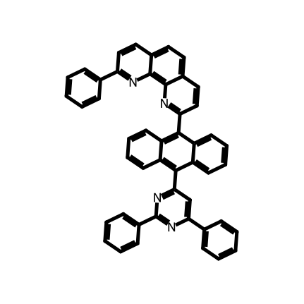 c1ccc(-c2cc(-c3c4ccccc4c(-c4ccc5ccc6ccc(-c7ccccc7)nc6c5n4)c4ccccc34)nc(-c3ccccc3)n2)cc1